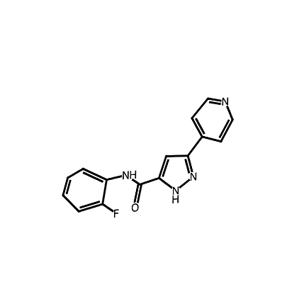 O=C(Nc1ccccc1F)c1cc(-c2ccncc2)n[nH]1